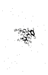 C[C@H](Nc1nc(N)nc(N)c1C#N)c1nc2c(Cl)cc(F)cc2c(=O)n1N1CCN(C(=O)OC(C)(C)C)CC1